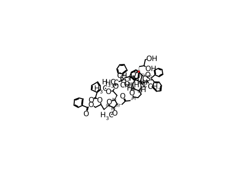 COC(C[C@@H]1O[C@H](CC(COC(=O)c2ccccc2)OC(=O)c2ccccc2)[C@H](OC)[C@H]1CC(=O)C[C@H]1CC[C@@H]2O[C@@H]3[C@@H](O[C@H](CC(O)CO)[C@@H]3O[Si](c3ccccc3)(c3ccccc3)C(C)(C)C)[C@@H](O[Si](c3ccccc3)(c3ccccc3)C(C)(C)C)[C@H]2O1)OC